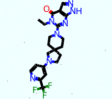 CCn1c(N2CCC3(CCN(c4ccnc(C(F)(F)F)c4)C3)CC2)nc2[nH]ncc2c1=O